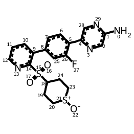 Nc1cnc(-c2ccc(-c3cccnc3S(=O)(=O)C3CC[S+]([O-])CC3)cc2F)cn1